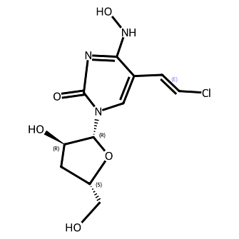 O=c1nc(NO)c(/C=C/Cl)cn1[C@@H]1O[C@H](CO)C[C@H]1O